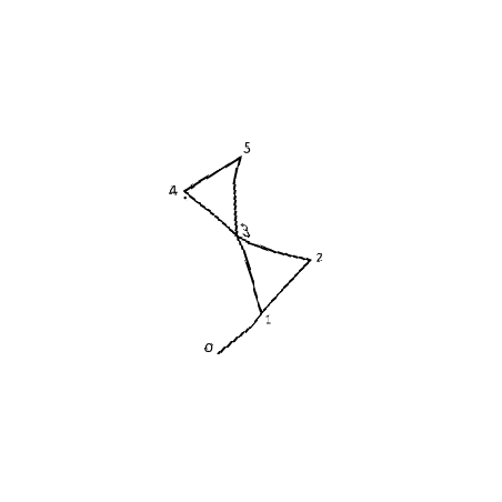 CC1CC12[CH]C2